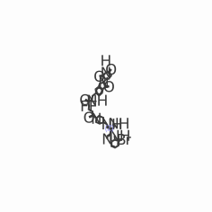 N=C/C(=C\NC1CCN(C(=O)CCC(F)(F)C(=O)NCc2ccc3c(c2)CN(C2CCC(=O)NC2=O)C3=O)CC1)C1=CN=C2C=CC=C(Br)C2N1